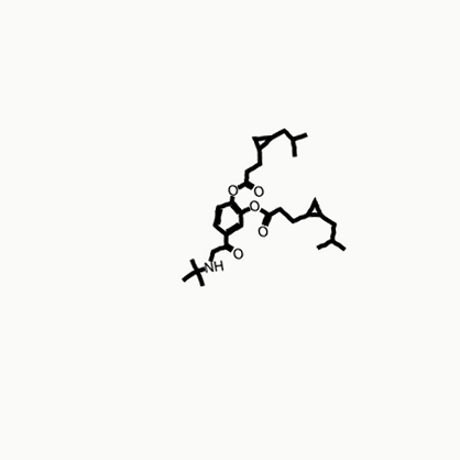 CC(C)CC1CC1CCC(=O)Oc1ccc(C(=O)CNC(C)(C)C)cc1OC(=O)CCC1CC1CC(C)C